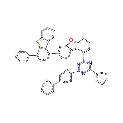 c1ccc(-c2ccc(-c3nc(-c4ccccc4)nc(-c4cccc5oc6cc(-c7ccc(-c8ccccc8)c8sc9ccccc9c78)ccc6c45)n3)cc2)cc1